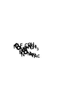 CC(=O)N1CC2(C1)CN(c1cc(O[C@H](C)CN(C)C)c3c(Nc4ccc5ncccc5c4F)ncnc3c1)C2